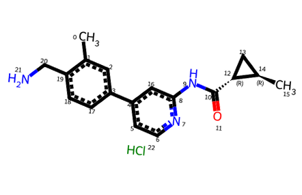 Cc1cc(-c2ccnc(NC(=O)[C@@H]3C[C@H]3C)c2)ccc1CN.Cl